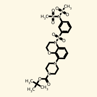 CC(C)(C)OC(=O)N1CCN(c2cccc3c2OCCN3S(=O)(=O)c2cccc(N(S(C)(=O)=O)S(C)(=O)=O)c2)CC1